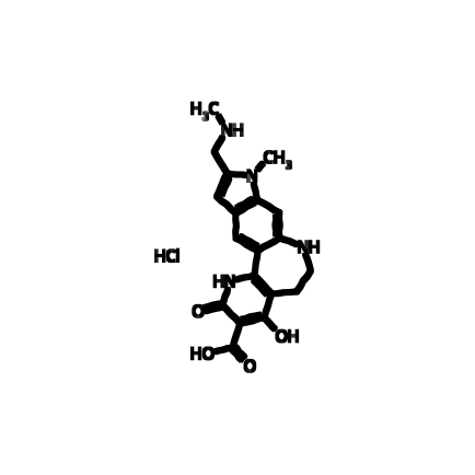 CNCc1cc2cc3c(cc2n1C)NCCc1c-3[nH]c(=O)c(C(=O)O)c1O.Cl